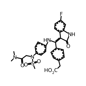 CN(C)C(=O)CN(c1ccc(NC(=C2C(=O)Nc3cc(F)ccc32)c2ccc(CC(=O)O)cc2)cc1)S(C)(=O)=O